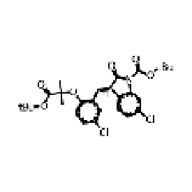 CC(C)(C)OC(=O)N1C(=O)/C(=C/c2cc(Cl)ccc2OC(C)(C)C(=O)OC(C)(C)C)c2ccc(Cl)cc21